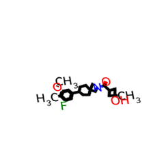 COc1cc(C2CCC3(CC2)CN(C(=O)C2CC(C)(O)C2)C3)cc(F)c1C